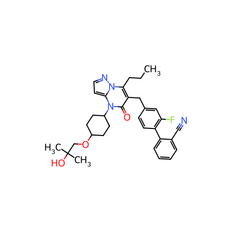 CCCc1c(Cc2ccc(-c3ccccc3C#N)c(F)c2)c(=O)n(C2CCC(OCC(C)(C)O)CC2)c2ccnn12